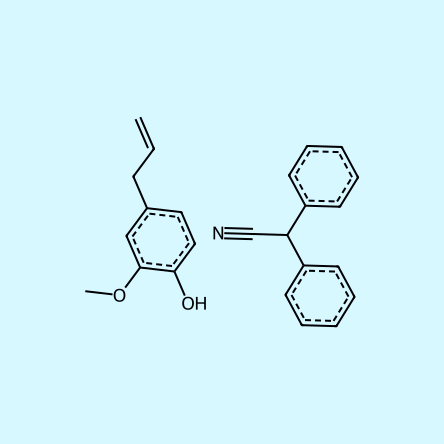 C=CCc1ccc(O)c(OC)c1.N#CC(c1ccccc1)c1ccccc1